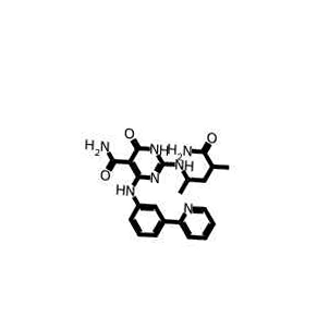 CC(CC(C)C(N)=O)Nc1nc(Nc2cccc(-c3ccccn3)c2)c(C(N)=O)c(=O)[nH]1